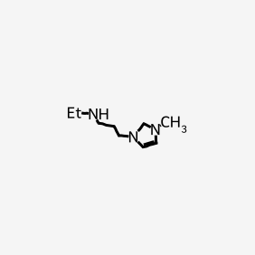 CCNCCCN1C=CN(C)C1